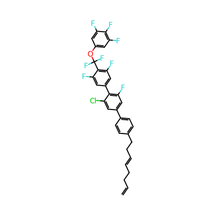 C=CCC/C=C/CCc1ccc(-c2cc(F)c(-c3cc(F)c(C(F)(F)Oc4cc(F)c(F)c(F)c4)c(F)c3)c(Cl)c2)cc1